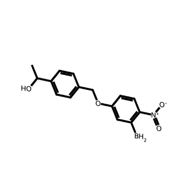 Bc1cc(OCc2ccc(C(C)O)cc2)ccc1[N+](=O)[O-]